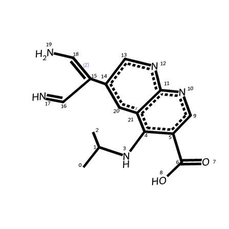 CC(C)Nc1c(C(=O)O)cnc2ncc(/C(C=N)=C/N)cc12